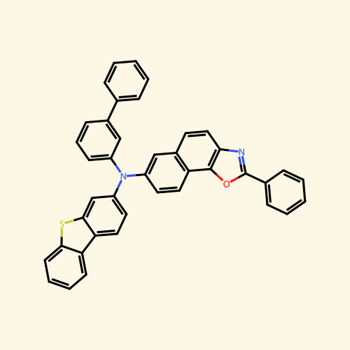 c1ccc(-c2cccc(N(c3ccc4c(ccc5nc(-c6ccccc6)oc54)c3)c3ccc4c(c3)sc3ccccc34)c2)cc1